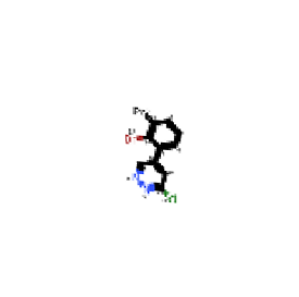 CC(C)c1cccc(-c2cnnc(Cl)c2)c1Br